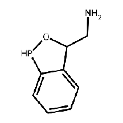 NCC1OPc2ccccc21